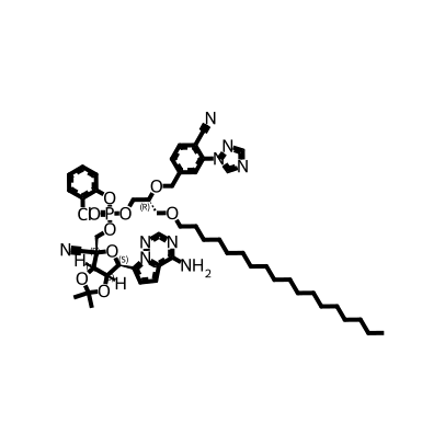 CCCCCCCCCCCCCCCCCCOC[C@H](COP(=O)(OC[C@@]1(C#N)O[C@@H](c2ccc3c(N)ncnn23)[C@@H]2OC(C)(C)O[C@@H]21)Oc1ccccc1Cl)OCc1ccc(C#N)c(-n2cncn2)c1